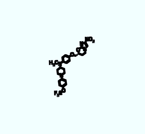 CN(c1ccc(OC[C@H]2CCn3cc([N+](=O)[O-])nc3O2)cc1)C1CCN(c2ccc(OC(F)(F)F)cc2)CC1